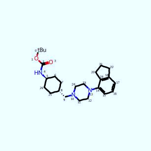 CC(C)(C)OC(=O)N[C@H]1CC[C@H](CN2CCN(c3cccc4c3CCC4)CC2)CC1